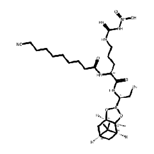 CC(C)C[C@H](NC(=O)[C@H](CCCNC(=N)N[N+](=O)O)NC(=O)CCCCCCCCC#N)B1O[C@@H]2C[C@@H]3C[C@@H](C3(C)C)[C@]2(C)O1